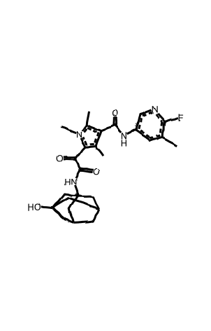 Cc1cc(NC(=O)c2c(C)c(C(=O)C(=O)NC34CC5CC(CC(O)(C5)C3)C4)n(C)c2C)cnc1F